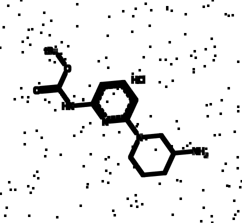 CC(C)(C)OC(=O)Nc1cccc(N2CCCC(N)C2)n1.Cl